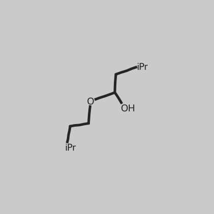 CC(C)CCOC(O)CC(C)C